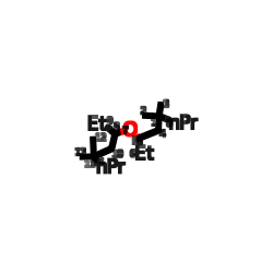 CCCC(C)(C)CC(CC)OC(CC)CC(C)(C)CCC